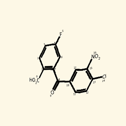 O=C(O)c1ccc(F)cc1C(=O)c1ccc(Cl)c([N+](=O)[O-])c1